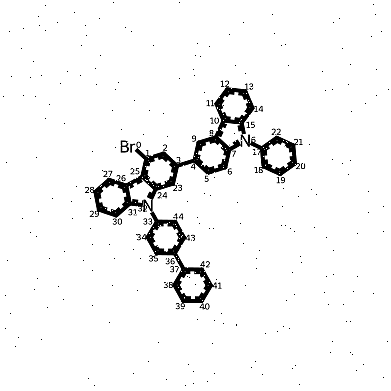 Brc1cc(-c2ccc3c(c2)c2ccccc2n3-c2ccccc2)cc2c1c1ccccc1n2-c1ccc(-c2ccccc2)cc1